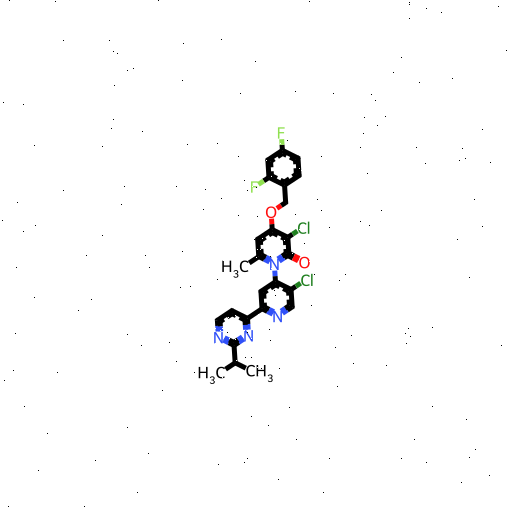 Cc1cc(OCc2ccc(F)cc2F)c(Cl)c(=O)n1-c1cc(-c2ccnc(C(C)C)n2)ncc1Cl